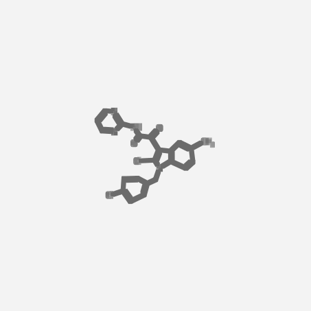 Cc1ccc2c(c1)c(C(=O)C(=O)Nc1ncccn1)c(Cl)n2Cc1ccc(Cl)cc1